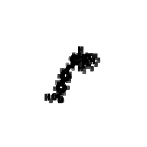 CCN(Nc1ccc(CCc2ccc(N3CCN(C(C)=O)CC3)cn2)s1)C(C)(C)C